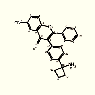 [C-]#[N+]c1ccc2oc(-c3ccccc3)c(-c3ccc(C4(N)CCC4)cc3)c(=O)c2c1